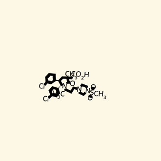 C[C@@H](CCN1CCN(S(C)(=O)=O)CC1)N1C(=O)[C@@](C)(CC(=O)O)C[C@H](c2cccc(Cl)c2)[C@H]1c1ccc(Cl)cc1